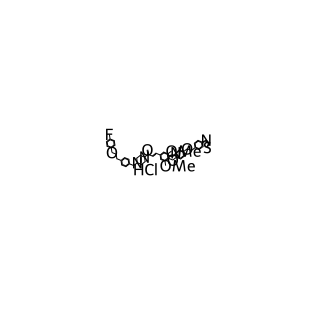 COc1cc(/C=C/C(=O)N2CCN(Cc3ccc(CCOc4ccc(F)cc4)cc3)CC2)cc(OC)c1Oc1ccc(OCc2ccc3ncsc3c2)cn1.Cl